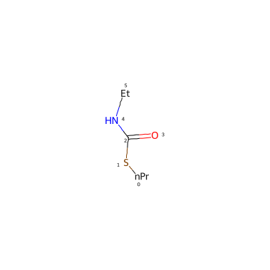 CCCSC(=O)NCC